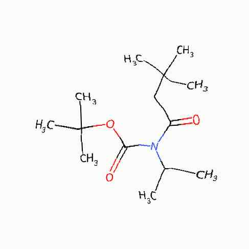 CC(C)N(C(=O)CC(C)(C)C)C(=O)OC(C)(C)C